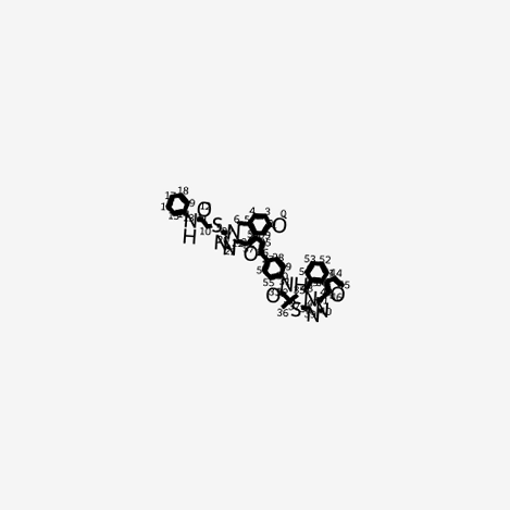 COc1ccc(Cn2c(SCC(=O)Nc3ccccc3)nnc2-c2ccc(-c3ccc(NC(=O)C(C)(C)Sc4nnc(-c5ccco5)n4Cc4ccccc4)cc3)o2)cc1